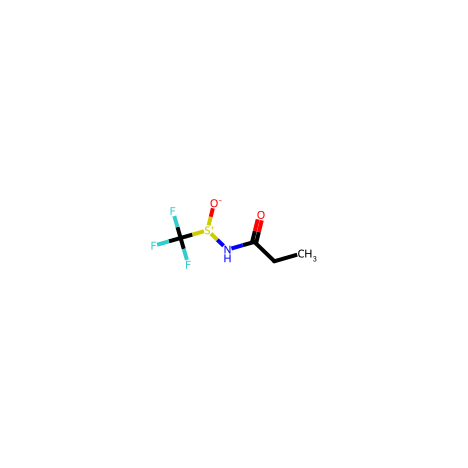 CCC(=O)N[S+]([O-])C(F)(F)F